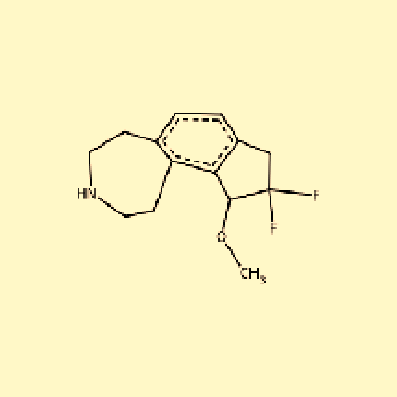 COC1c2c(ccc3c2CCNCC3)CC1(F)F